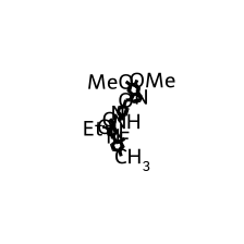 CCOc1cn(-c2ccc(C)cc2F)nc1C(=O)Nc1ccc(Oc2ccnc3cc(OC)c(OC)cc23)cn1